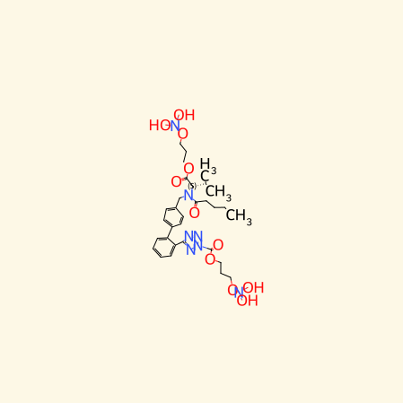 CCCCC(=O)N(Cc1ccc(-c2ccccc2-c2nnn(C(=O)OCCCON(O)O)n2)cc1)[C@H](C(=O)OCCCON(O)O)C(C)C